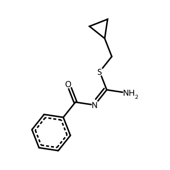 NC(=NC(=O)c1ccccc1)SCC1CC1